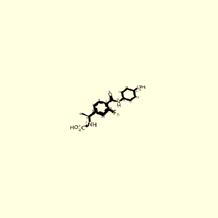 C[C@H](NC(=O)O)c1ccc(C(=O)NC2CCC(O)CC2)c(F)c1